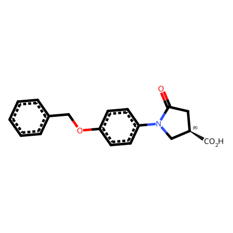 O=C(O)[C@@H]1CC(=O)N(c2ccc(OCc3ccccc3)cc2)C1